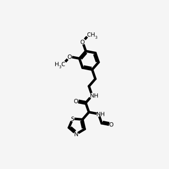 COc1ccc(CCNC(=O)C(NC=O)c2cncs2)cc1OC